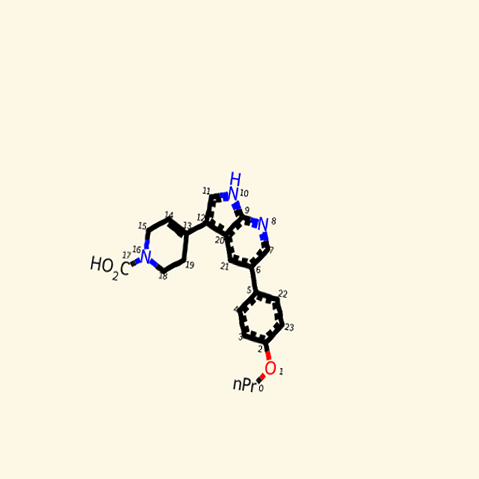 CCCOc1ccc(-c2cnc3[nH]cc(C4=CCN(C(=O)O)CC4)c3c2)cc1